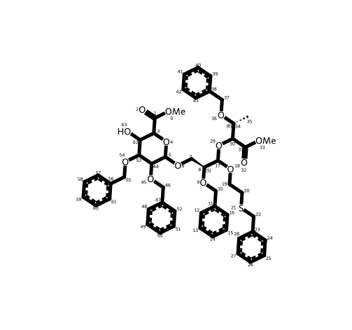 COC(=O)C1OC(OC[C@H](OCc2ccccc2)C(OCCSCc2ccccc2)OC(C(=O)OC)[C@@H](C)OCc2ccccc2)C(OCc2ccccc2)C(OCc2ccccc2)C1O